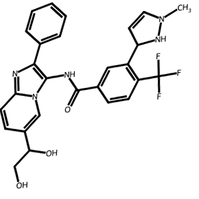 CN1C=CC(c2cc(C(=O)Nc3c(-c4ccccc4)nc4ccc(C(O)CO)cn34)ccc2C(F)(F)F)N1